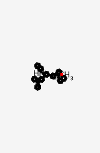 CC1CC=Cc2cccc(-n3c4ccccc4c4cc(-c5ccc(Nc6ccc7ccccc7c6)c(-c6ccc7c(c6)c6ccccc6n7-c6ccccc6)c5)ccc43)c21